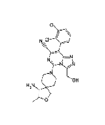 CC1OCC2(CCN(c3nc(C#N)c(-c4cccc(Cl)c4Cl)c4nnc(CO)n34)CC2)C1N